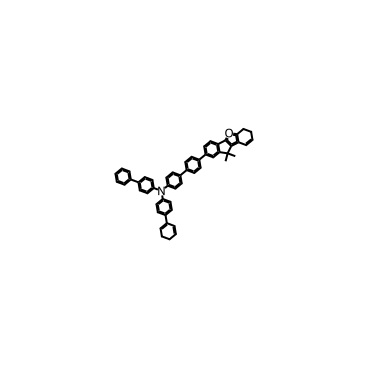 CC1(C)c2cc(-c3ccc(-c4ccc(N(c5ccc(C6=CCCC=C6)cc5)c5ccc(-c6ccccc6)cc5)cc4)cc3)ccc2-c2oc3c(c21)C=CCC3